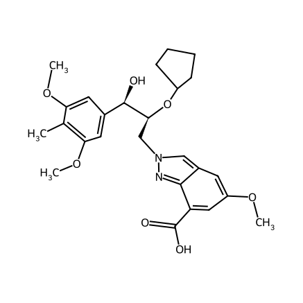 COc1cc(C(=O)O)c2nn(C[C@H](OC3CCCC3)[C@H](O)c3cc(OC)c(C)c(OC)c3)cc2c1